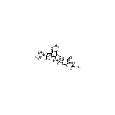 COc1ccc(NS(=O)(=O)c2ccc(NC(C)=O)c(Cl)c2)c2c1C[C@@H](N(C)C)CO2